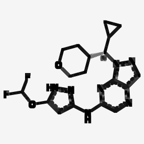 FC(F)Oc1cc(Nc2cnc3cnn([C@H](C4CCOCC4)C4CC4)c3n2)n[nH]1